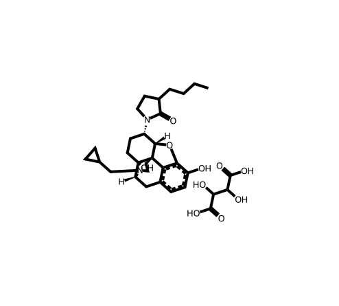 CCCCC1CCN([C@H]2CC[C@@]3(O)[C@H]4Cc5ccc(O)c6c5[C@@]3(CCN4CC3CC3)[C@H]2O6)C1=O.O=C(O)C(O)C(O)C(=O)O